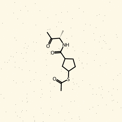 CC(=O)SC1CCC(C(=O)N[C@@H](C)C(C)=O)C1